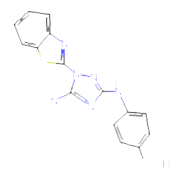 Nc1nc(Nc2ccc(C(=O)O)cc2)nn1-c1nc2ccccc2s1